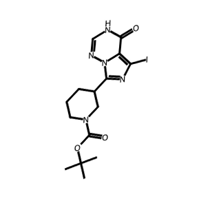 CC(C)(C)OC(=O)N1CCCC(c2nc(I)c3c(=O)[nH]cnn23)C1